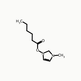 CCCCCC(=O)ON1C=CN(C)C1